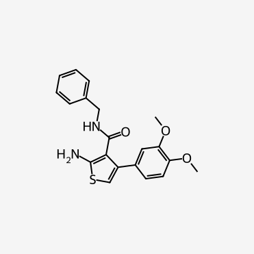 COc1ccc(-c2csc(N)c2C(=O)NCc2ccccc2)cc1OC